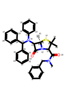 CN(Cc1ccccc1)C(=O)C1N2C(=O)C(N(c3ccccc3)C(c3ccccc3)c3ccccc3)[C@H]2SC1(C)C